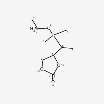 C[SiH2]O[Si](C)(C)C(C)C1COC(=O)O1